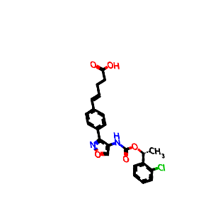 C[C@@H](OC(=O)Nc1conc1-c1ccc(/C=C/CCC(=O)O)cc1)c1ccccc1Cl